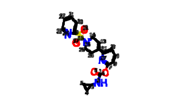 O=C(NC1CC1)Oc1cccc(C2=CCN(S(=O)(=O)c3ccccn3)CC2)n1